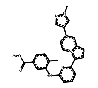 COC(=O)c1ccc(C)c(Nc2cccc(-c3cnc4cc(-c5cnn(C)c5)ccn34)n2)c1